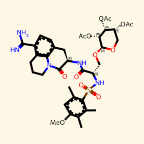 COc1cc(C)c(S(=O)(=O)N[C@@H](CO[C@@H]2OC[C@@H](OC(C)=O)[C@@H](OC(C)=O)[C@H]2OC(C)=O)C(=O)N[C@H](Cc2ccc(C(=N)N)cc2)C(=O)N2CCCCC2)c(C)c1C